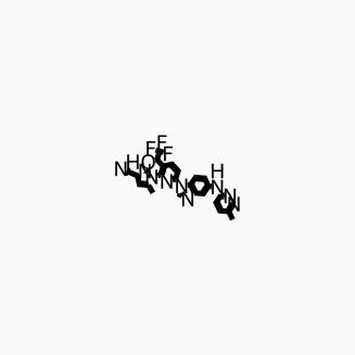 Cc1ccc(Nc2ccc3c(c2)ncn3-c2ccc(C(O)C(F)(F)F)c(-n3nc(C#N)cc3C)n2)nn1